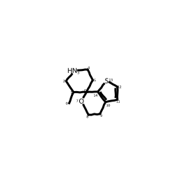 CC1CNCCC12OCCc1ccsc12